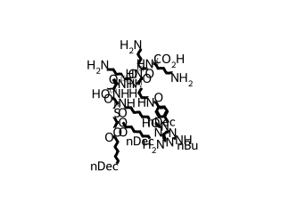 CCCCCCCCCCCCCCCC(=O)N[C@@H](CSCC(COC(=O)CCCCCCCCCCCCCCC)OC(=O)CCCCCCCCCCCCCCC)C(=O)N[C@@H](CO)C(=O)N[C@@H](CCCCN)C(=O)N[C@@H](CCCCNC(=O)c1ccc(Cn2c(O)nc3c(N)nc(NCCCC)nc32)cc1)C(=O)N[C@@H](CCCCN)C(=O)N[C@@H](CCCCN)C(=O)O